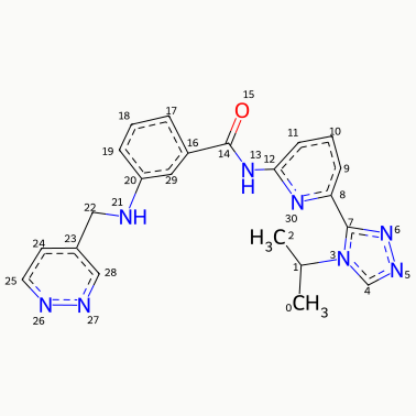 CC(C)n1cnnc1-c1cccc(NC(=O)c2cccc(NCc3ccnnc3)c2)n1